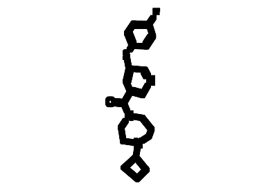 O=C(c1cncc(Sc2ccc(F)cc2)c1)N1CCCN(C2CCC2)CC1